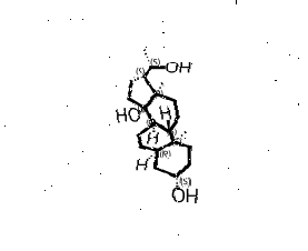 C[C@H](O)[C@H]1CC[C@]2(O)[C@@H]3CC[C@@H]4C[C@@H](O)CC[C@]4(C)[C@H]3CC[C@]12C